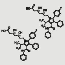 CC(C)c1c(C(=O)Nc2ccccc2)c(-c2ccccc2)c(-c2ccc(F)cc2)n1CC[C@@H](O)C[C@@H](O)CC(=O)O.CC(C)c1c(C(=O)Nc2ccccc2)c(-c2ccccc2)c(-c2ccc(F)cc2)n1CC[C@@H](O)C[C@@H](O)CC(=O)O